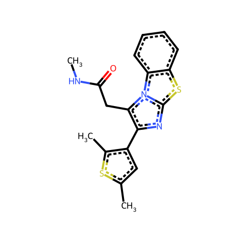 CNC(=O)Cc1c(-c2cc(C)sc2C)nc2sc3ccccc3n12